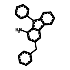 Nc1cc(Cc2ccccc2)cc2c3ccccc3n(-c3ccccc3)c12